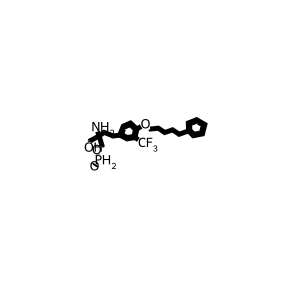 NC(CO)(CCc1ccc(OCCCCCc2ccccc2)c(C(F)(F)F)c1)CO[PH2]=O